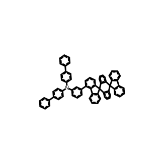 c1ccc(-c2ccc(N(c3ccc(-c4ccccc4)cc3)c3cccc(-c4cccc5c4-c4ccccc4C54c5ccccc5C5(c6ccccc6-c6ccccc65)c5ccccc54)c3)cc2)cc1